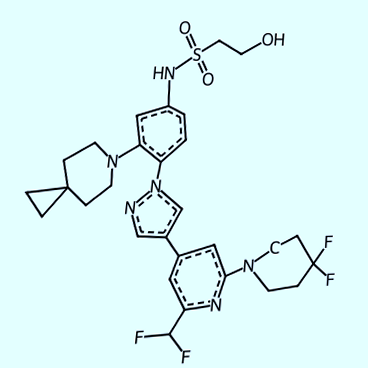 O=S(=O)(CCO)Nc1ccc(-n2cc(-c3cc(C(F)F)nc(N4CCC(F)(F)CC4)c3)cn2)c(N2CCC3(CC2)CC3)c1